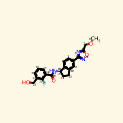 COCc1nc(-c2ccc3c(c2)CC[C@H]3NC(=O)c2cccc(CO)c2F)no1